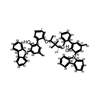 Cc1cc(-c2ccccc2OC(C)C(C)(C)[C@@H](C)Oc2ccccc2-c2cc(C)cc(-n3c4ccccc4c4ccccc43)c2O)c(O)c(-n2c3ccccc3c3ccccc32)c1